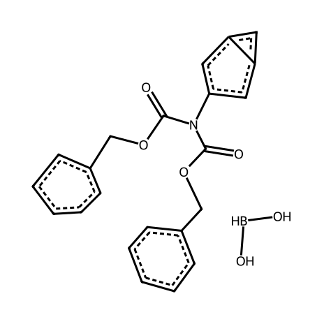 O=C(OCc1ccccc1)N(C(=O)OCc1ccccc1)c1cc2cc-2c1.OBO